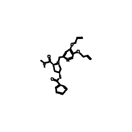 C=CCOc1cnc(CN2C[C@@H](SC(=O)c3ccccc3)C[C@H]2C(=O)N(C)C)cc1OCC=C